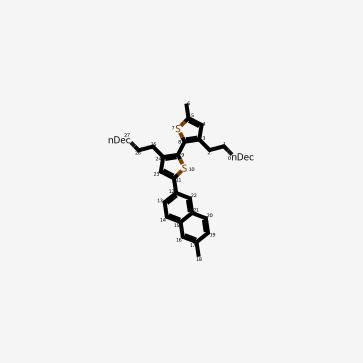 CCCCCCCCCCCCc1cc(C)sc1-c1sc(-c2ccc3cc(C)ccc3c2)cc1CCCCCCCCCCCC